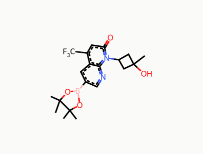 CC1(O)CC(n2c(=O)cc(C(F)(F)F)c3cc(B4OC(C)(C)C(C)(C)O4)cnc32)C1